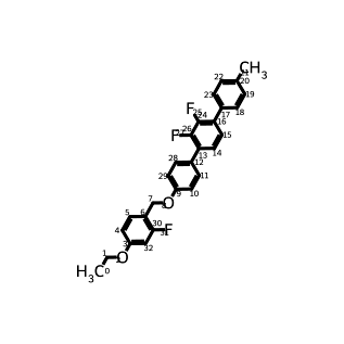 CCOc1ccc(COc2ccc(-c3ccc(-c4ccc(C)cc4)c(F)c3F)cc2)c(F)c1